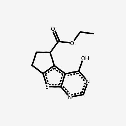 CCOC(=O)C1CCc2sc3ncnc(O)c3c21